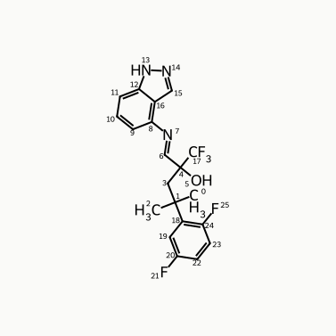 CC(C)(CC(O)(C=Nc1cccc2[nH]ncc12)C(F)(F)F)c1cc(F)ccc1F